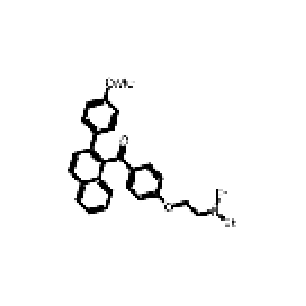 CCN(CC)CCOc1ccc(C(=O)c2c(-c3ccc(OC)cc3)ccc3ccccc23)cc1